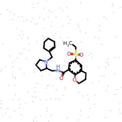 CCS(=O)(=O)c1cc2c(c(C(=O)NCC3CCCN3CC3=CCCCC3)c1)OCCC2